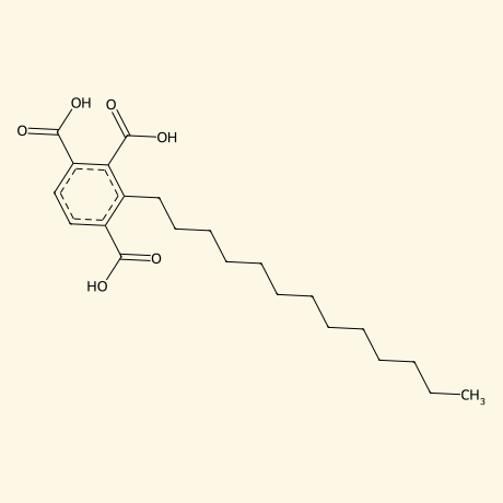 CCCCCCCCCCCCCc1c(C(=O)O)ccc(C(=O)O)c1C(=O)O